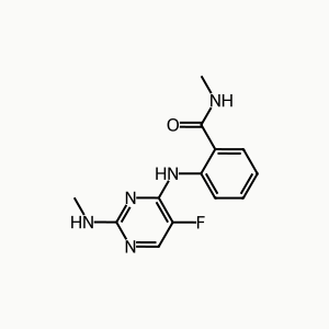 CNC(=O)c1ccccc1Nc1nc(NC)ncc1F